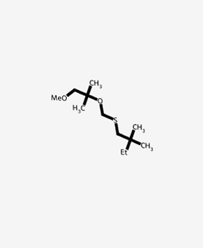 CCC(C)(C)CSCOC(C)(C)COC